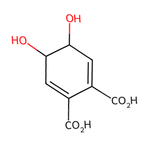 O=C(O)C1=CC(O)C(O)C=C1C(=O)O